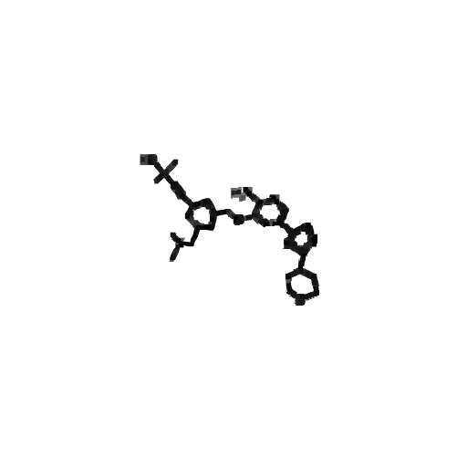 CN(C)Cc1cc(C#CC(C)(C)O)cc(COc2cc(-c3cnc(C4CCOCC4)s3)cnc2N)c1